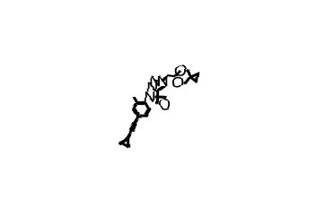 Cc1cc(C#CC2CC2)ccc1N(C)C1(c2cn(CC3OCC4(CC4)CO3)nn2)COC1